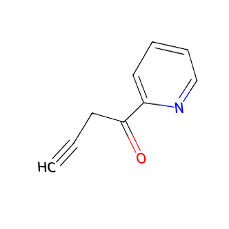 C#CCC(=O)c1ccccn1